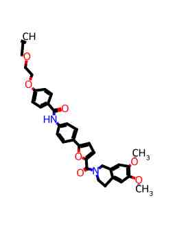 C#CCOCCOc1ccc(C(=O)Nc2ccc(-c3ccc(C(=O)N4CCc5cc(OC)c(OC)cc5C4)o3)cc2)cc1